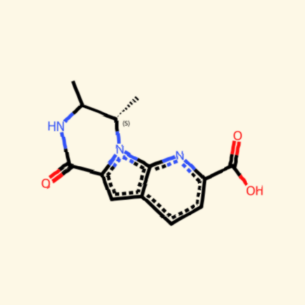 CC1NC(=O)c2cc3ccc(C(=O)O)nc3n2[C@H]1C